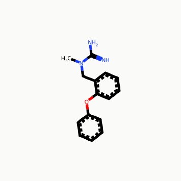 CN(Cc1ccccc1Oc1ccccc1)C(=N)N